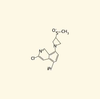 CC(C)c1ccc(N2CC([S+](C)[O-])C2)c2cnc(Cl)cc12